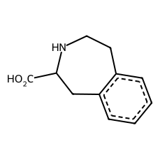 O=C(O)C1Cc2ccccc2CCN1